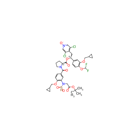 CC(C)(C)OC(=O)CN(c1cc(C(=O)N2CCC[C@H]2C(=O)O[C@@H](Cc2c(Cl)c[n+]([O-])cc2Cl)c2ccc(OC(F)F)c(OCC3CC3)c2)ccc1OCC1CC1)[SH](=O)=O